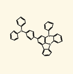 c1ccc(N(c2ccccc2)c2ccc(-c3cc4c5c(c3)c3ccccc3n5-c3ccccc3N4c3ccccc3)cc2)cc1